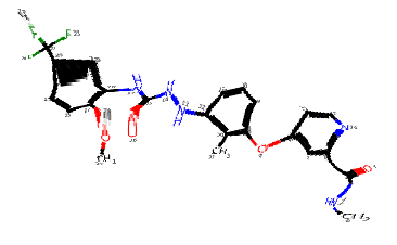 CNC(=O)c1cc(Oc2cccc(NNC(=O)Nc3cc(C(F)(F)F)ccc3OC)c2C)ccn1